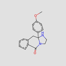 COc1ccc(C23Cc4ccccc4C(=O)N2CCN3)cc1